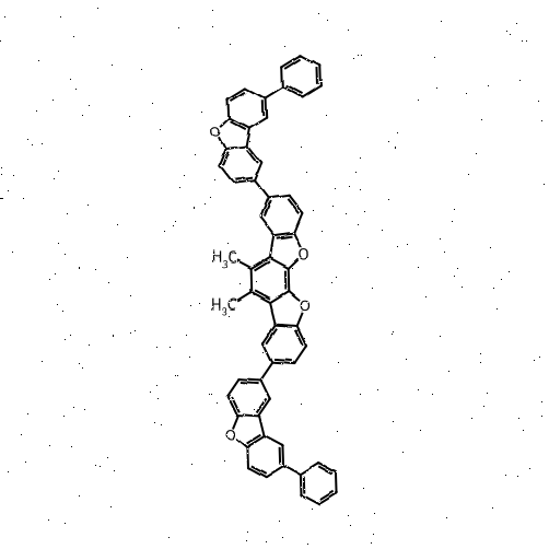 Cc1c(C)c2c3cc(-c4ccc5oc6ccc(-c7ccccc7)cc6c5c4)ccc3oc2c2oc3ccc(-c4ccc5oc6ccc(-c7ccccc7)cc6c5c4)cc3c12